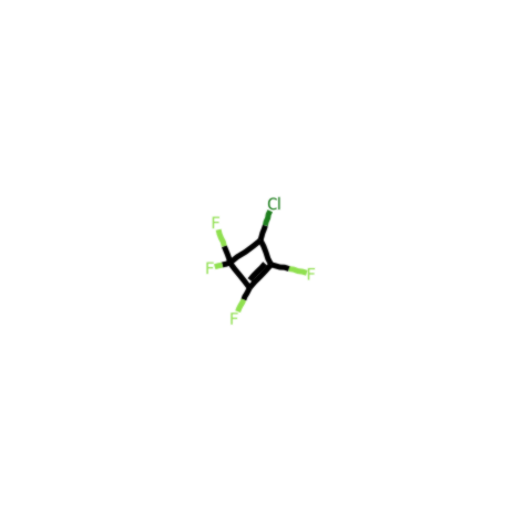 FC1=C(F)C(F)(F)C1Cl